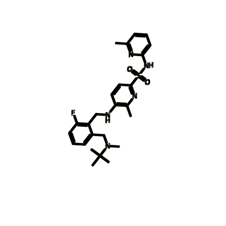 Cc1cccc(NS(=O)(=O)c2ccc(NCc3c(F)cccc3CN(C)C(C)(C)C)c(C)n2)n1